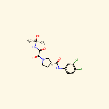 C[C@@](O)(NC(=O)C(=O)N1CC[C@H](C(=O)Nc2ccc(F)c(Cl)c2)C1)C(F)(F)F